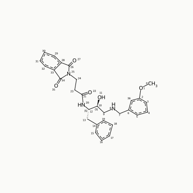 COc1cccc(CNC[C@H](O)[C@H](Cc2ccccc2)NC(=O)CCN2C(=O)c3ccccc3C2=O)c1